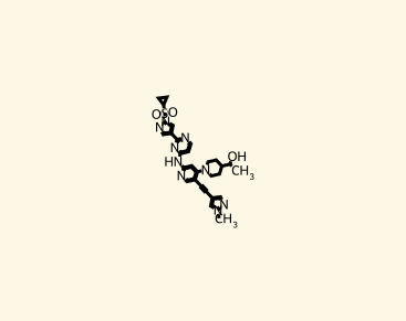 CC(O)C1CCN(c2cc(Nc3ccnc(-c4cnn(S(=O)(=O)C5CC5)c4)n3)ncc2C#Cc2cnn(C)c2)CC1